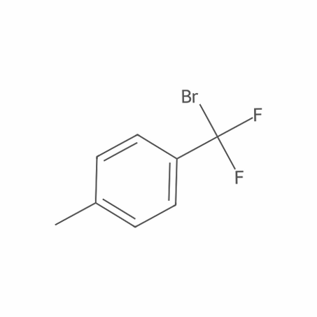 Cc1ccc(C(F)(F)Br)cc1